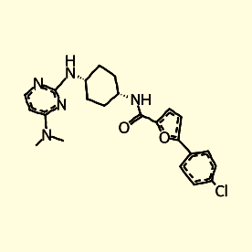 CN(C)c1ccnc(N[C@H]2CC[C@@H](NC(=O)c3ccc(-c4ccc(Cl)cc4)o3)CC2)n1